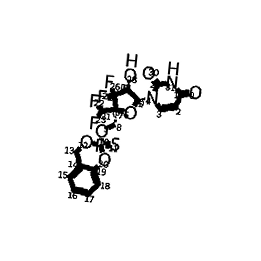 O=c1ccn([C@@H]2O[C@@](COP3(=S)OCc4ccccc4O3)(C(F)F)C(F)(F)[C@@H]2O)c(=O)[nH]1